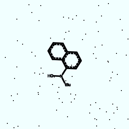 CC(C)(C)N(O)c1cccc2ccccc12